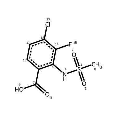 CS(=O)(=O)Nc1c(C(=O)O)ccc(Cl)c1F